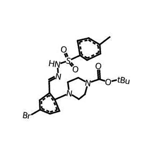 Cc1ccc(S(=O)(=O)N/N=C/c2cc(Br)ccc2N2CCN(C(=O)OC(C)(C)C)CC2)cc1